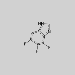 Fc1cc2[nH]cnc2c(F)c1F